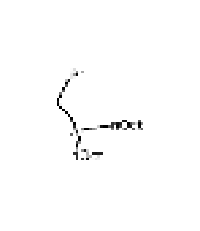 CCCCCCC[CH2][Al]([CH2]CCCCCCC)[CH2]C(C)C